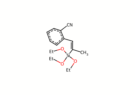 CCO[Si](OCC)(OCC)C(C)=Cc1ccccc1C#N